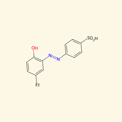 CCc1ccc(O)c(N=Nc2ccc(S(=O)(=O)O)cc2)c1